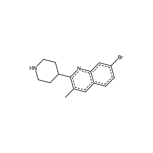 Cc1cc2ccc(Br)cc2nc1C1CCNCC1